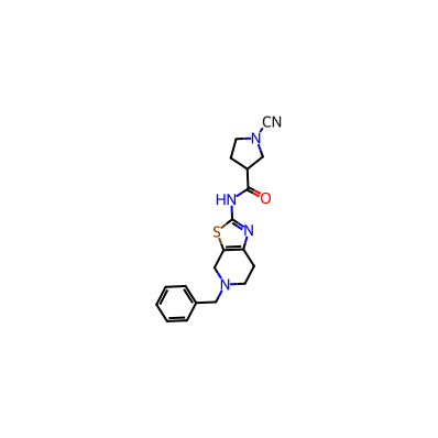 N#CN1CCC(C(=O)Nc2nc3c(s2)CN(Cc2ccccc2)CC3)C1